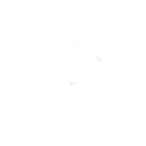 CC(=O)Nc1cncnc1